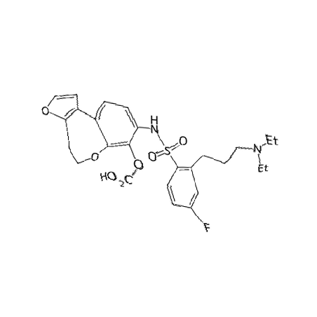 CCN(CC)CCCc1cc(F)ccc1S(=O)(=O)Nc1ccc2c(c1OC(=O)O)OCCc1occc1-2